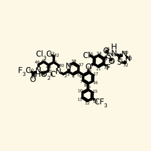 O=C(O)N(Cc1cc(-c2cc(-c3cccc(C(F)(F)F)c3)ccc2Oc2cc(F)c(S(=O)(=O)Nc3nncs3)cc2Cl)ccn1)CC(CC(Cl)(Cl)Cl)C1CCN(C(=O)C(F)(F)F)CC1